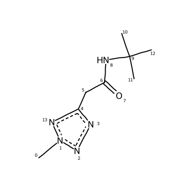 Cn1nnc(CC(=O)NC(C)(C)C)n1